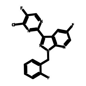 Fc1cnc2c(c1)c(-c1ncc(F)c(Cl)n1)nn2Cc1ccccc1F